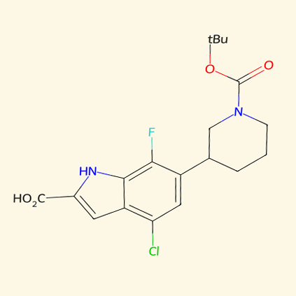 CC(C)(C)OC(=O)N1CCCC(c2cc(Cl)c3cc(C(=O)O)[nH]c3c2F)C1